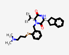 CCC(CC)[C@@H]1C(=O)N[C@H](C2Cc3ccccc3C2)C(=O)N1Cc1ccccc1SCCCN(C)C